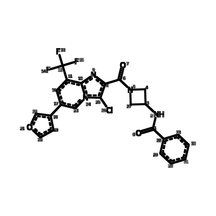 O=C(NC1CN(C(=O)c2nc3c(C(F)(F)F)cc(-c4ccoc4)cn3c2Cl)C1)c1ccccc1